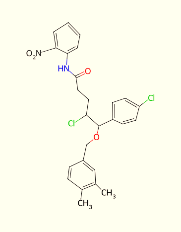 Cc1ccc(COC(c2ccc(Cl)cc2)C(Cl)CCC(=O)Nc2ccccc2[N+](=O)[O-])cc1C